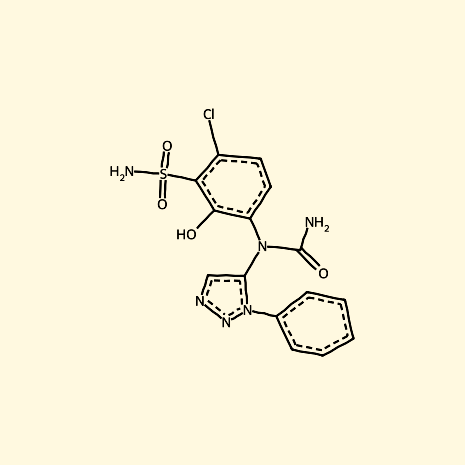 NC(=O)N(c1ccc(Cl)c(S(N)(=O)=O)c1O)c1cnnn1-c1ccccc1